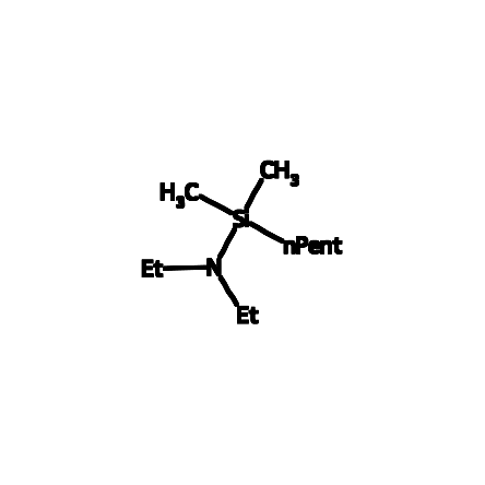 CCCCC[Si](C)(C)N(CC)CC